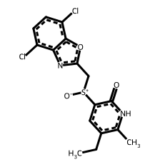 CCc1cc([S+]([O-])Cc2nc3c(Cl)ccc(Cl)c3o2)c(=O)[nH]c1C